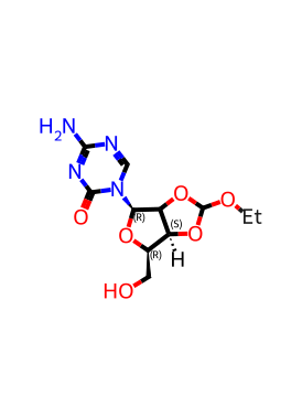 CCOC1OC2[C@@H](O1)[C@@H](CO)O[C@H]2n1cnc(N)nc1=O